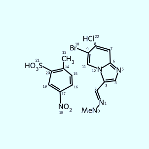 CNN=Cc1cnc2ccc(Br)cn12.Cc1ccc([N+](=O)[O-])cc1S(=O)(=O)O.Cl